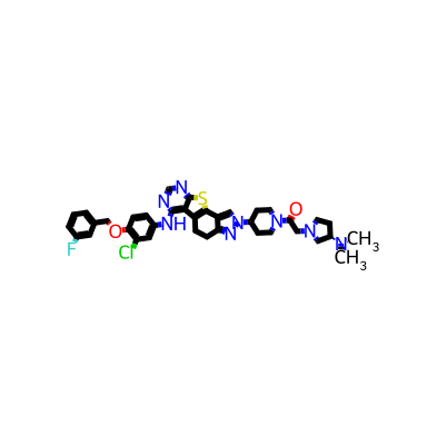 CN(C)[C@H]1CCN(CC(=O)N2CCC(n3cc4c(n3)CCc3c-4sc4ncnc(Nc5ccc(OCc6cccc(F)c6)c(Cl)c5)c34)CC2)C1